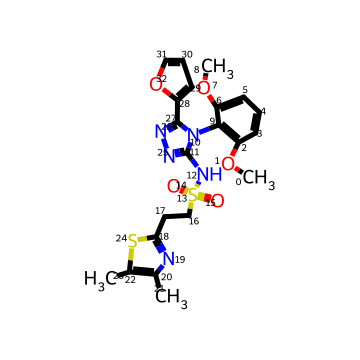 COc1cccc(OC)c1-n1c(NS(=O)(=O)CCc2nc(C)c(C)s2)nnc1-c1ccco1